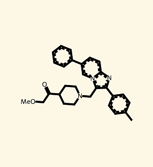 COCC(=O)C1CCN(Cc2c(-c3ccc(C)cc3)nc3ccc(-c4ccccc4)cn23)CC1